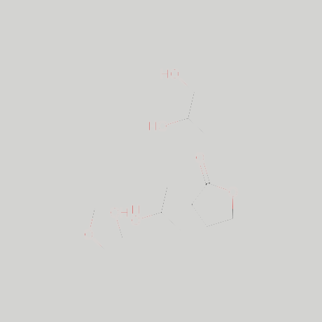 CC(C)O.CC(O)CO.CO.COC.O=C1CCCO1